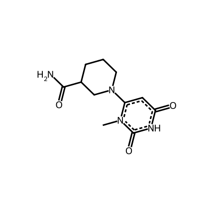 Cn1c(N2CCCC(C(N)=O)C2)cc(=O)[nH]c1=O